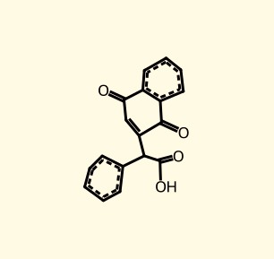 O=C1C=C(C(C(=O)O)c2ccccc2)C(=O)c2ccccc21